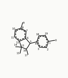 Cc1ccc(C2c3cc(C)ccc3C(C)(C)C2C)cc1